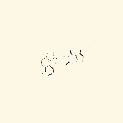 CCOC(=O)c1c[nH]c2[nH]c(=O)n(CCC3NC[C@@H]4CCc5c(OC)cccc5[C@H]34)c(=O)c12